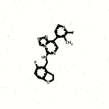 Cc1c(-c2cnc(NCc3c(F)ccc4c3CCO4)n3cnnc23)ccnc1F